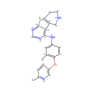 Cc1ccc(Oc2ccc(Nc3ncnc4sc5c(c34)CNCC5)cc2C)cn1